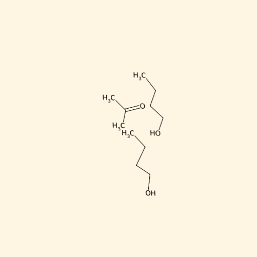 CC(C)=O.CCCCO.CCCCO